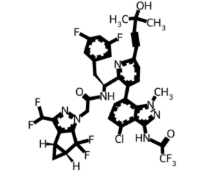 Cn1nc(NC(=O)C(F)(F)F)c2c(Cl)ccc(-c3ccc(C#CC(C)(C)O)nc3[C@H](Cc3cc(F)cc(F)c3)NC(=O)Cn3nc(C(F)F)c4c3C(F)(F)[C@@H]3C[C@H]43)c21